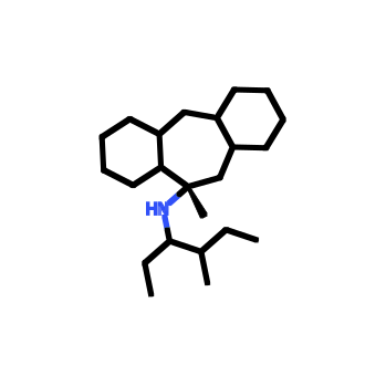 CCC(C)C(CC)N[C@@]1(C)CC2CCCCC2CC2CCCCC21